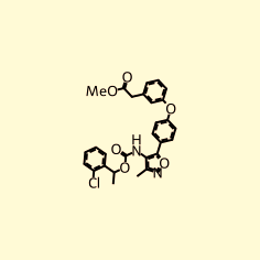 COC(=O)Cc1cccc(Oc2ccc(-c3onc(C)c3NC(=O)OC(C)c3ccccc3Cl)cc2)c1